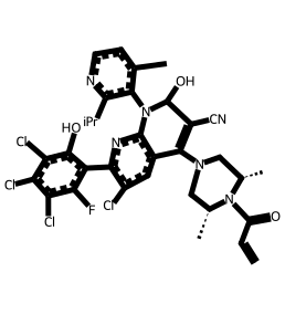 C=CC(=O)N1[C@H](C)CN(C2=C(C#N)C(O)N(c3c(C)ccnc3C(C)C)c3nc(-c4c(O)c(Cl)c(Cl)c(Cl)c4F)c(Cl)cc32)C[C@@H]1C